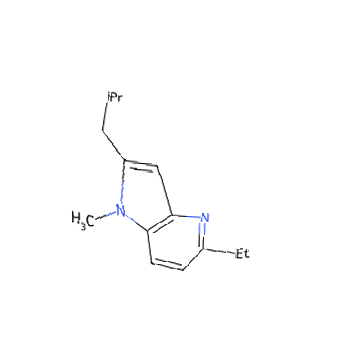 CCc1ccc2c(cc(CC(C)C)n2C)n1